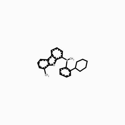 CN(c1ccccc1C1CCCCC1)c1cccc2c1oc1c(C(F)(F)F)cccc12